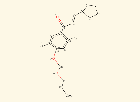 CCc1cc(C(=O)C=CC2CCCC2)c(C)cc1OCOCCOC